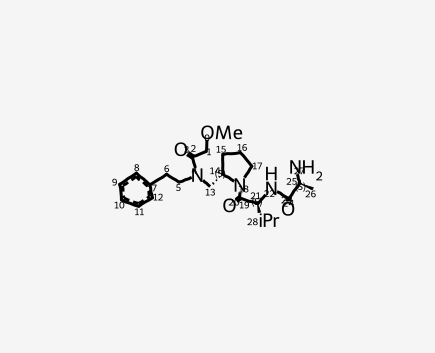 COCC(=O)N(CCc1ccccc1)C[C@@H]1CCCN1C(=O)[C@@H](NC(=O)[C@H](C)N)C(C)C